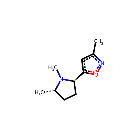 Cc1cc([C@H]2CC[C@H](C)N2C)on1